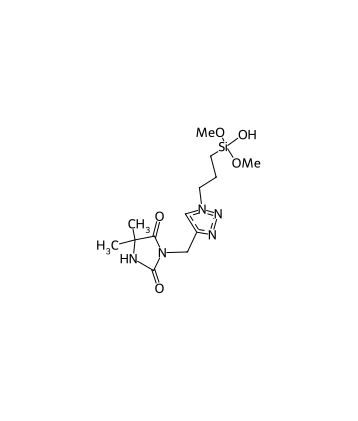 CO[Si](O)(CCCn1cc(CN2C(=O)NC(C)(C)C2=O)nn1)OC